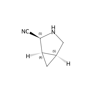 N#C[C@H]1NC[C@H]2C[C@H]21